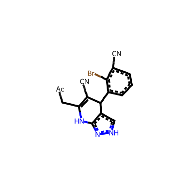 CC(=O)CC1=C(C#N)C(c2cccc(C#N)c2Br)c2c[nH]nc2N1